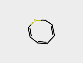 C1=C\C=C/SC\C=C/1